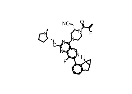 C=C(F)C(=O)N1CCN(c2nc(OC[C@@H]3CCCN3C)nc3c(F)c(-c4cccc5c4[C@@H]4CC4C5)ncc23)C[C@@H]1CC#N